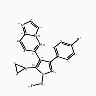 FSn1nc(-c2ccc(F)cc2)c(-c2ccc3nccn3n2)c1C1CC1